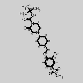 CC(C)(C)OC(=O)N1CCN([C@H]2CC[C@H](COc3ccc(S(C)(=O)=O)cc3F)CC2)CC1=O